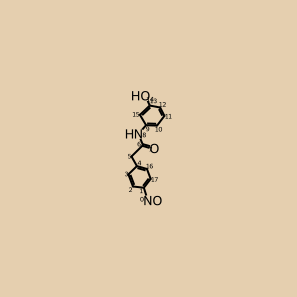 O=Nc1ccc(CC(=O)Nc2cccc(O)c2)cc1